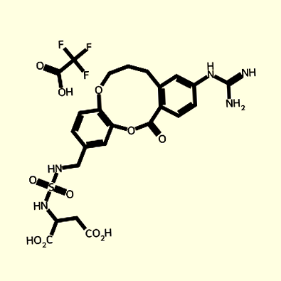 N=C(N)Nc1ccc2c(c1)CCCOc1ccc(CNS(=O)(=O)NC(CC(=O)O)C(=O)O)cc1OC2=O.O=C(O)C(F)(F)F